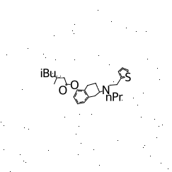 CCCN(CCc1cccs1)C1CCc2c(cccc2OC(=O)CC(C)C(C)CC)C1